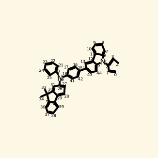 C=C/C(=C\C)n1c2ccccc2c2cc(-c3ccc(N(c4ccccc4)c4ccc5c(c4)C(C)(C)c4ccccc4-5)cc3)ccc21